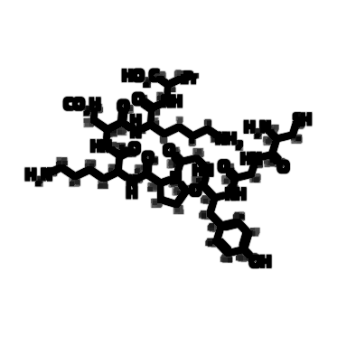 CC(C)C(NC(=O)C(CCCCN)NC(=O)C(CC(=O)O)NC(=O)C(CCCCN)NC(=O)C1CCCN1C(=O)CNC(=O)C(Cc1ccc(O)cc1)NC(=O)CNC(=O)C(N)CS)C(=O)O